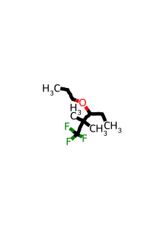 CCCOC(CC)C(C)(C)C(F)(F)F